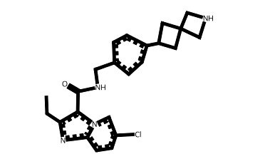 CCc1nc2ccc(Cl)cn2c1C(=O)NCc1ccc(C2CC3(CNC3)C2)cc1